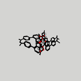 Cc1ccc(C2=Cc3c(-c4ccc(C(C)C)cc4)cccc3[C]23[SiH](C)[C]2(C(c4ccc(C)o4)=Cc4c(-c5ccc(C(C)C)cc5)cccc42)[Hf]32([Cl])([Cl])[C]3(C(c4ccc(C)o4)=Cc4c(-c5ccc(C(C)C)cc5)cccc43)[SiH](C)[C]23C(c2ccc(C)o2)=Cc2c(-c4ccc(C(C)C)cc4)cccc23)o1